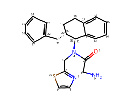 NCC(=O)N(Cc1nccs1)[C@@H]1c2ccccc2CC[C@H]1Cc1ccccc1